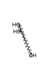 OCCCCCCCCCCCCCCCC(O)CCCO